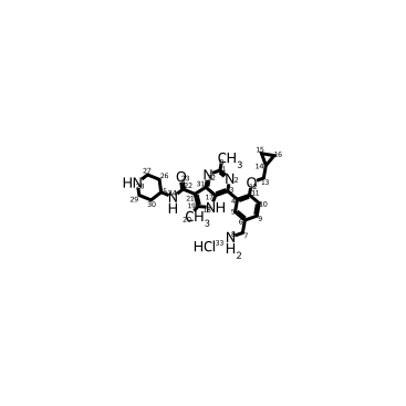 Cc1nc(-c2cc(CN)ccc2OCC2CC2)c2[nH]c(C)c(C(=O)NC3CCNCC3)c2n1.Cl